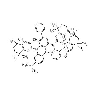 Cc1cc2c(cc1N1c3cc(C(C)C)ccc3B3c4ccc5oc6cc7c(cc6c5c4N(c4cc5c(cc4C)C(C)(C)CCC5(C)C)c4cc(-c5ccccc5)cc1c43)C(C)(C)CCC7(C)C)C(C)(C)CCC2(C)C